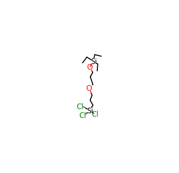 CC[Si](CC)(CC)OCCCOCCC[Si](Cl)(Cl)Cl